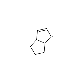 [CH]1C=CC2CCCC12